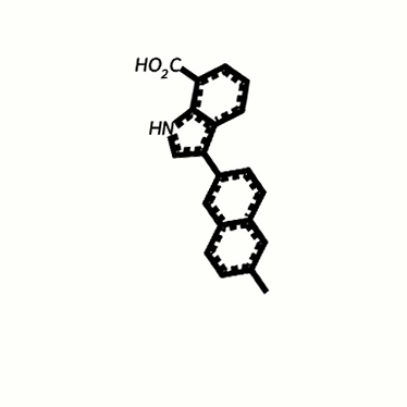 Cc1ccc2cc(-c3c[nH]c4c(C(=O)O)cccc34)ccc2c1